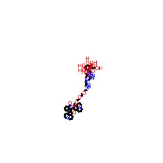 O=C1c2ccccc2C2(c3cc4c5c(c3Oc3c2cc2c6c3CCCN6CCC2)CCCN5CCC4)N1CCOCCOCCOCCn1cc(CN(Cc2cn([C@H]3OC(CO)[C@@H](O)[C@H](O)C3O)nn2)Cc2cn([C@H]3OC(CO)[C@H](O)[C@@H](O)C3O)nn2)nn1